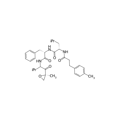 Cc1ccc(CCC(=O)N[C@@H](CC(C)C)C(=O)N[C@@H](Cc2ccccc2)C(=O)NC(C(=O)[C@@]2(C)CO2)C(C)C)cc1